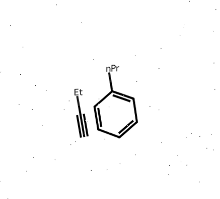 C#CCC.CCCc1ccccc1